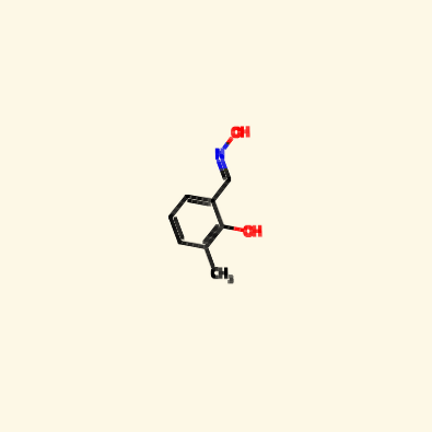 Cc1cccc(/C=N/O)c1O